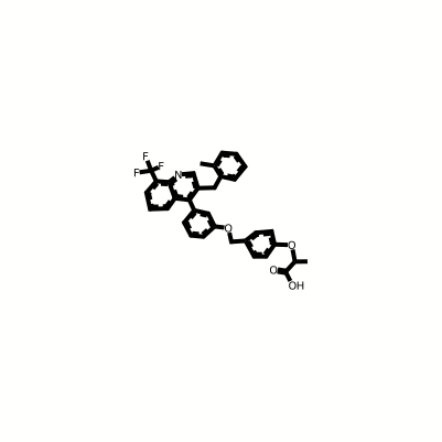 Cc1ccccc1Cc1cnc2c(C(F)(F)F)cccc2c1-c1cccc(OCc2ccc(OC(C)C(=O)O)cc2)c1